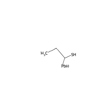 CC[CH](S)[PbH]